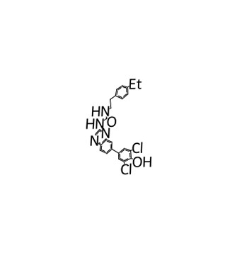 CCc1ccc(CCNC(=O)Nc2cnc3ccc(-c4cc(Cl)c(O)c(Cl)c4)cc3n2)cc1